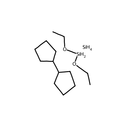 C1CCC(C2CCCC2)C1.CCO[SiH2]OCC.[SiH4]